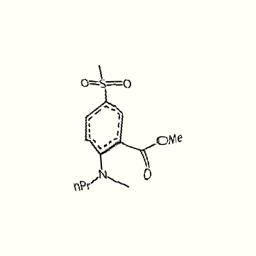 CCCN(C)c1ccc(S(C)(=O)=O)cc1C(=O)OC